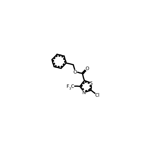 O=C(OCc1ccccc1)c1sc(Cl)nc1C(F)(F)F